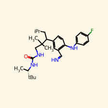 CC(C)CC(c1ccc(Nc2ccc(F)cc2)c(C=N)c1)C(C)(C)CNC(=O)N[C@@H](C)C(C)(C)C